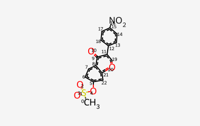 CS(=O)(=O)Oc1ccc2c(=O)c(-c3ccc([N+](=O)[O-])cc3)coc2c1